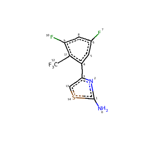 Nc1nc(-c2cc(F)cc(F)c2C(F)(F)F)cs1